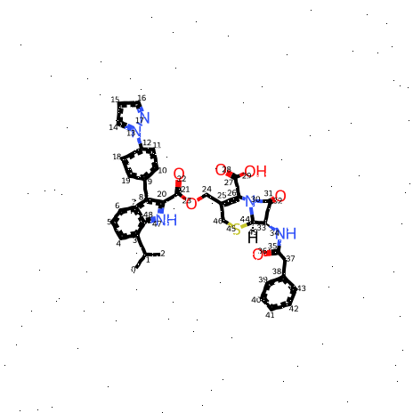 CC(C)c1cccc2c(-c3ccc(-n4cccn4)cc3)c(C(=O)OCC3=C(C(=O)O)N4C(=O)[C@@H](NC(=O)Cc5ccccc5)[C@H]4SC3)[nH]c12